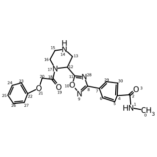 CNC(=O)c1ccc(-c2noc(C3CNCCN3C(=O)COc3ccccc3)n2)cc1